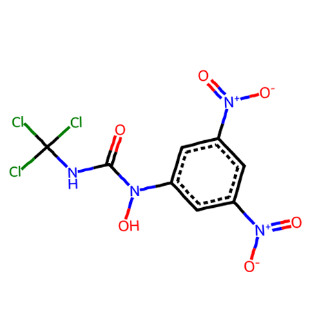 O=C(NC(Cl)(Cl)Cl)N(O)c1cc([N+](=O)[O-])cc([N+](=O)[O-])c1